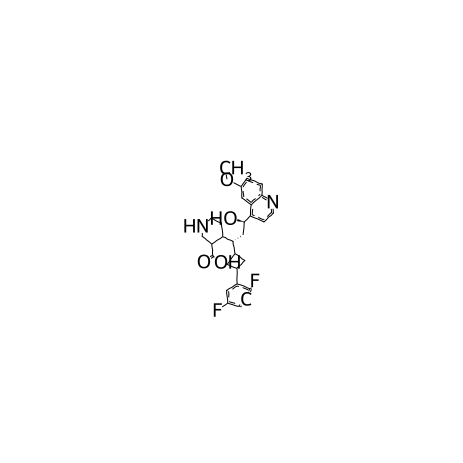 COc1ccc2nccc([C@H](O)C[C@H](C3CC(c4cc(F)ccc4F)C3)C3CCNCC3C(=O)O)c2c1